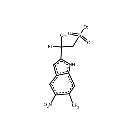 CCC(O)(CS(=O)(=O)CC)c1cc2cc([N+](=O)[O-])c(C(F)(F)F)cc2[nH]1